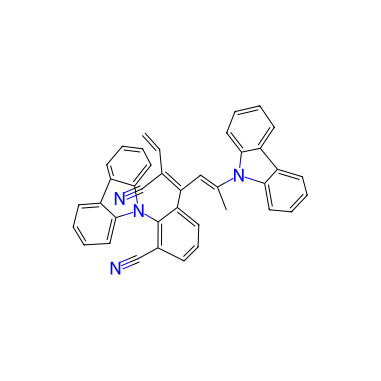 C=C/C(C#N)=C(\C=C(/C)n1c2ccccc2c2ccccc21)c1cccc(C#N)c1-n1c2ccccc2c2ccccc21